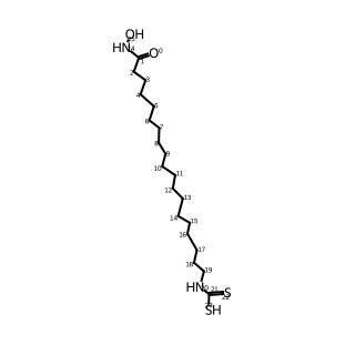 O=C(CCCCCCCCCCCCCCCCCCNC(=S)S)NO